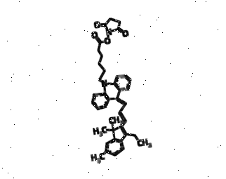 CCC1=C(/C=C/C=C2c3ccccc3N(CCCCCC(=O)ON3C(=O)CCC3=O)c3ccccc32)C(C)(C)c2cc(C)ccc21